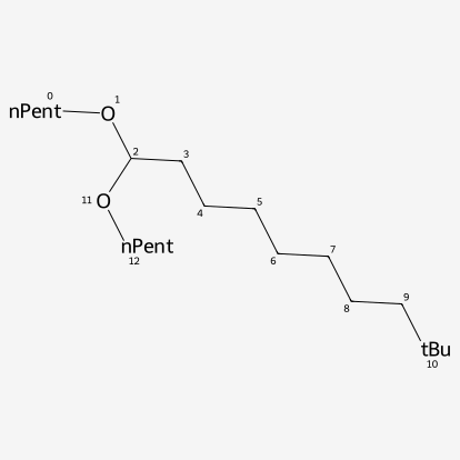 CCCCCOC(CCCCCCCC(C)(C)C)OCCCCC